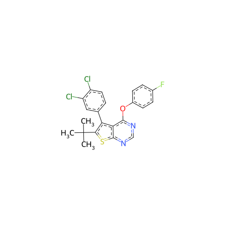 CC(C)(C)c1sc2ncnc(Oc3ccc(F)cc3)c2c1-c1ccc(Cl)c(Cl)c1